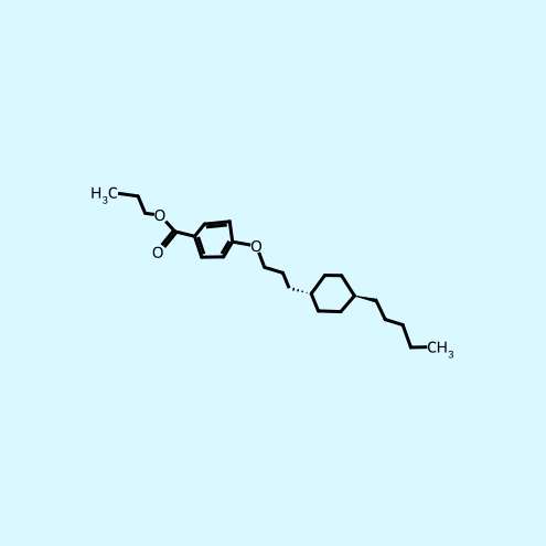 CCCCC[C@H]1CC[C@H](CCCOc2ccc(C(=O)OCCC)cc2)CC1